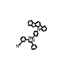 N#Cc1cccc(-c2cc(-c3ccccc3)nc(-c3ccc(-n4c5ccccc5c5ccc6c(c54)Cc4ccccc4-6)cc3)n2)c1